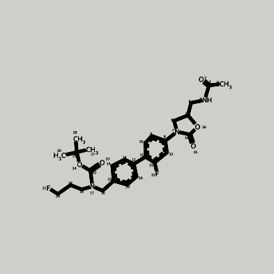 CC(=O)NCC1CN(c2ccc(-c3ccc(CN(CCCF)C(=O)OC(C)(C)C)cc3)c(F)c2)C(=O)O1